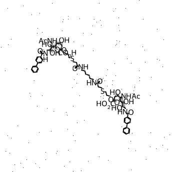 CC(=O)N[C@H]1[C@H]([C@H](O)[C@H](O)CNC(=O)c2ccc(-c3ccccc3)cc2)O[C@@](OCCCSCCC(=O)NCCCCCCNC(=O)CCSCCCO[C@]2(C(=O)O)C[C@H](O)[C@@H](NC(C)=O)[C@H]([C@H](O)[C@H](O)CNC(=O)c3ccc(-c4ccccc4)cc3)O2)(C(=O)O)C[C@@H]1O